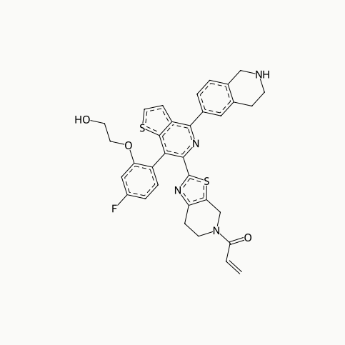 C=CC(=O)N1CCc2nc(-c3nc(-c4ccc5c(c4)CCNC5)c4ccsc4c3-c3ccc(F)cc3OCCO)sc2C1